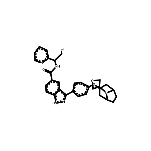 CC(C)CC(NC(=O)c1ccc2[nH]nc(-c3ccc(OC4CC5CCC(C4)N5C4COC4)cc3)c2c1)c1ccccn1